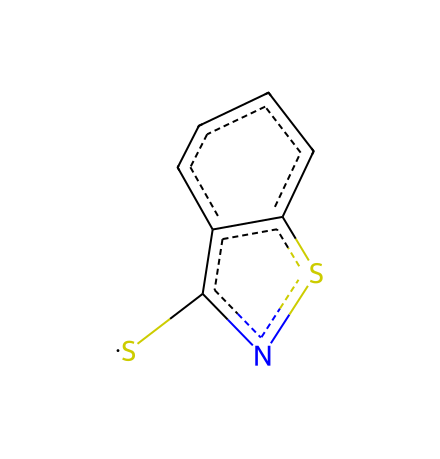 [S]c1nsc2ccccc12